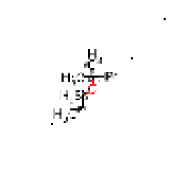 C=C[SiH2]OC(C)(C)C(C)C